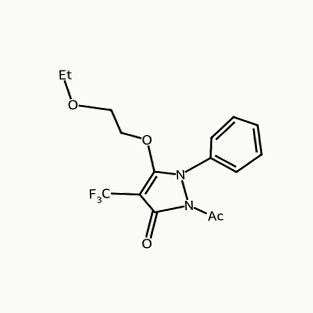 CCOCCOc1c(C(F)(F)F)c(=O)n(C(C)=O)n1-c1ccccc1